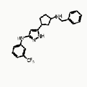 FC(F)(F)c1cccc(Nc2cc(C3CCC(NCc4ccccc4)C3)[nH]n2)c1